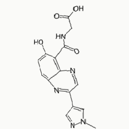 Cn1cc(-c2cnc3c(C(=O)NCC(=O)O)c(O)ccc3n2)cn1